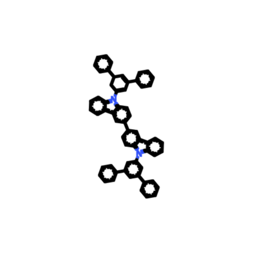 C1=C(c2ccccc2)C=C(n2c3ccccc3c3cc(-c4ccc5c(c4)c4ccccc4n5-c4cc(-c5ccccc5)cc(-c5ccccc5)c4)ccc32)CC1c1ccccc1